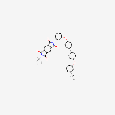 CCC(C)(CC)c1cccc(Oc2ccc(-c3ccc(Oc4cccc(-n5c(=O)c6cc7c(=O)n(C(C)(CC)CC)c(=O)c7cc6c5=O)c4)cc3)cc2)c1